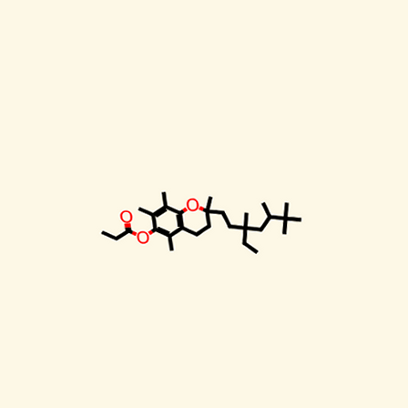 CCC(=O)Oc1c(C)c(C)c2c(c1C)CCC(C)(CCC(C)(CC)CC(C)C(C)(C)C)O2